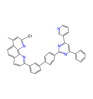 CCc1cc(C)c2ccc3ccc(-c4cccc(-c5ccc(-c6nc(-c7ccccc7)cc(-c7cccnc7)n6)cc5)c4)nc3c2n1